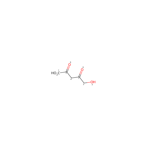 O=C(CO)CC(=O)C(=O)O